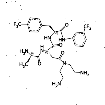 C[C@@H](N)C(=O)N[C@@H](CC(=O)N(CCN)CCN)C(=O)N[C@@H](Cc1ccc(C(F)(F)F)cc1)C(=O)Nc1cccc(C(F)(F)F)c1